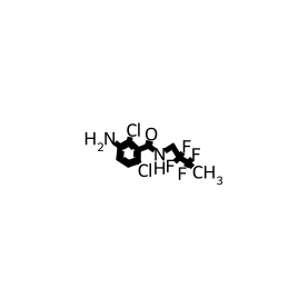 CC(F)(F)C(F)(F)CNC(=O)c1c(Cl)ccc(N)c1Cl